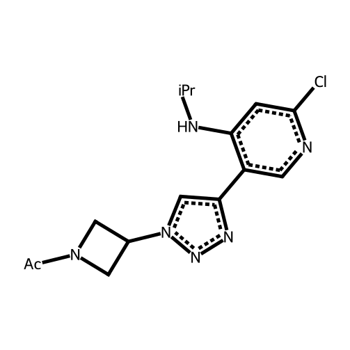 CC(=O)N1CC(n2cc(-c3cnc(Cl)cc3NC(C)C)nn2)C1